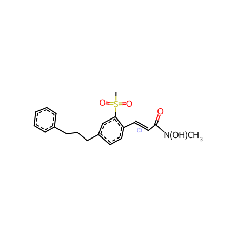 CN(O)C(=O)/C=C/c1ccc(CCCc2ccccc2)cc1S(C)(=O)=O